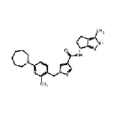 Cc1nc(N2CCCCCC2)ccc1Cn1cc(C(=O)N[C@@H]2CCc3c2n[nH]c3C)cn1